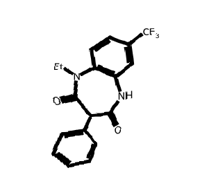 CCN1C(=O)C(c2ccccc2)C(=O)Nc2cc(C(F)(F)F)ccc21